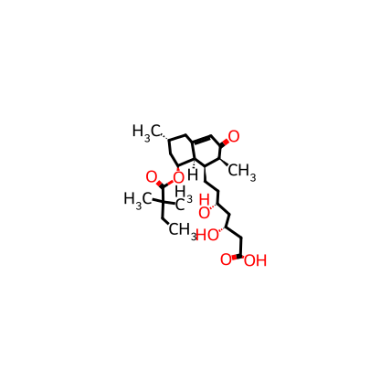 CCC(C)(C)C(=O)O[C@H]1C[C@H](C)CC2=CC(=O)[C@@H](C)[C@@H](CC[C@@H](O)C[C@@H](O)CC(=O)O)[C@H]21